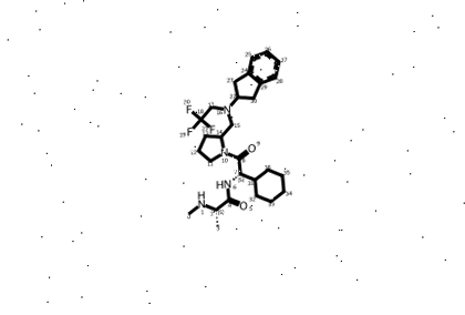 CN[C@@H](C)C(=O)N[C@H](C(=O)N1CCCC1CN(CC(F)(F)F)C1Cc2ccccc2C1)C1CCCCC1